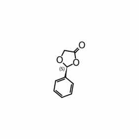 O=C1CO[C@H](c2ccccc2)O1